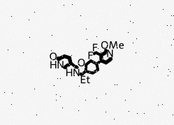 CCC(NC(=O)c1ccc(=O)[nH]c1)C1CCC(c2ccnc(OC)c2C(F)F)CC1